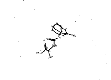 CCC(C)[C@H](NC(=O)OC12CC3CC(CC(N)(C3)C1)C2)C(=O)OC